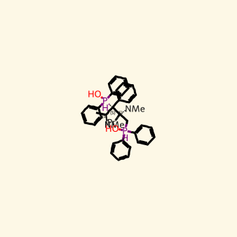 CN[C@@H](C)[C@@](c1ccccc1)([C@](C[PH](O)(c1ccccc1)c1ccccc1)(NC)C(C)C)[PH](O)(c1ccccc1)c1ccccc1